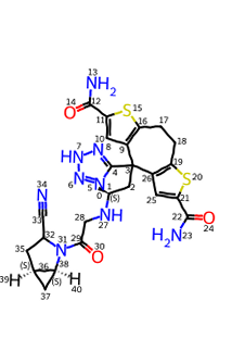 C[C@@H](CC1(c2nn[nH]n2)c2cc(C(N)=O)sc2CCc2sc(C(N)=O)cc21)NCC(=O)N1C(C#N)C[C@@H]2C[C@@H]21